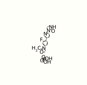 C=C1O[C@@H](COP(=O)(O)O)CN1c1ccc(-c2ccc(N3CCNC3=O)nc2)c(F)c1